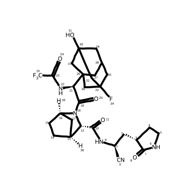 N#C[C@H](C[C@@H]1CCNC1=O)NC(=O)[C@@H]1[C@H]2CC[C@H](C2)N1C(=O)[C@@H](NC(=O)C(F)(F)F)C12CC3CC(O)(CC(F)(C3)C1)C2